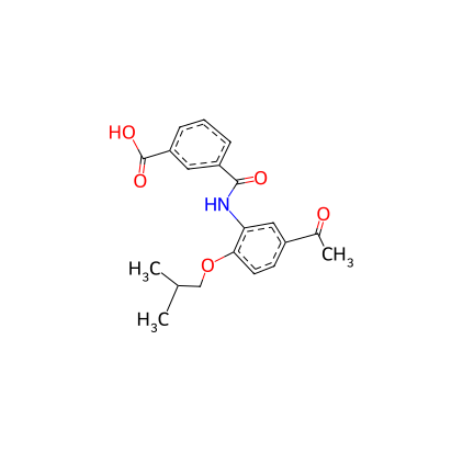 CC(=O)c1ccc(OCC(C)C)c(NC(=O)c2cccc(C(=O)O)c2)c1